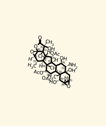 CC(=O)O[C@H]1[C@@H]2[C@H]([C@H](C)[C@H]3O[C@]34OC(=O)[C@@](C)(O)[C@]24C)[C@]2(C)[C@@H]1C1C([C@H](OC(C)=O)[C@@H]2OC(C)=O)[C@@]2(C)[C@@H](O)[C@H]3O[C@H]3C[C@]2(O)[C@@H](N)[C@@H]1O